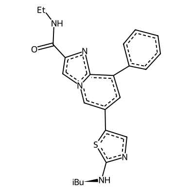 CCNC(=O)c1cn2cc(-c3cnc(N[C@H](C)CC)s3)cc(-c3ccccc3)c2n1